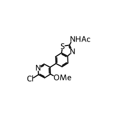 COc1cc(Cl)ncc1-c1ccc2nc(NC(C)=O)sc2c1